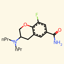 CCCN(CCC)C1COc2c(F)cc(C(N)=O)cc2C1